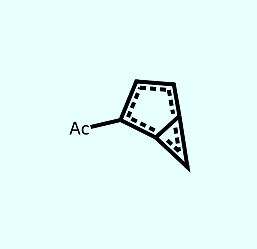 CC(=O)c1ccc2cc1-2